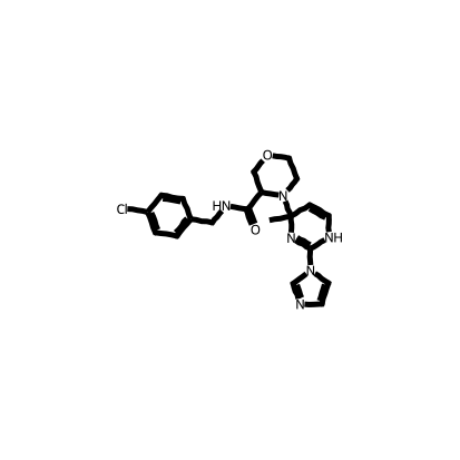 CC1(N2CCOCC2C(=O)NCc2ccc(Cl)cc2)C=CNC(n2ccnc2)=N1